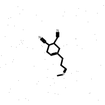 C/P=C\CCC1=CCC(C#N)C(C#N)C1